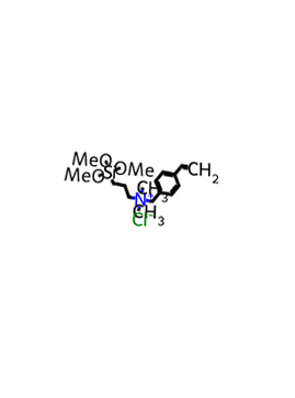 C=Cc1ccc(C[N+](C)(C)CCC[Si](OC)(OC)OC)cc1.[Cl-]